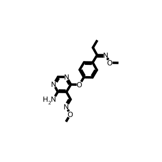 CC/C(=N/OC)c1ccc(Oc2ncnc(N)c2C=NOC)cc1